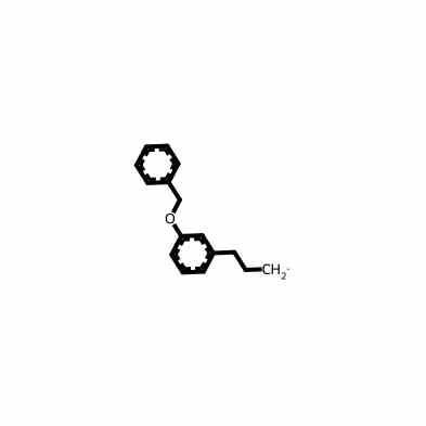 [CH2]CCc1cccc(OCc2ccccc2)c1